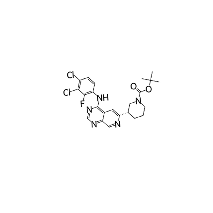 CC(C)(C)OC(=O)N1CCC[C@H](c2cc3c(Nc4ccc(Cl)c(Cl)c4F)ncnc3cn2)C1